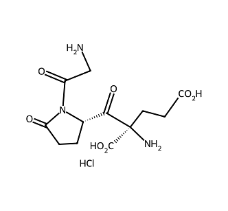 Cl.NCC(=O)N1C(=O)CC[C@H]1C(=O)[C@](N)(CCC(=O)O)C(=O)O